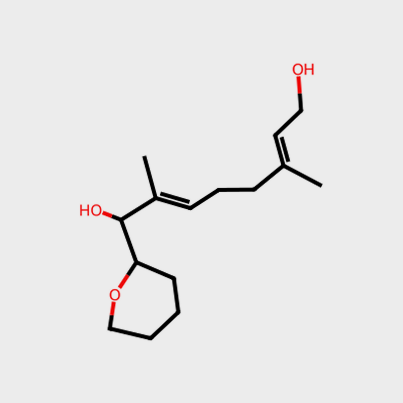 CC(=CCO)CCC=C(C)C(O)C1CCCCO1